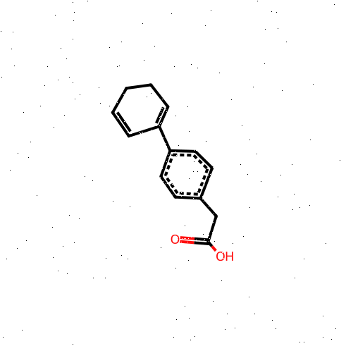 O=C(O)Cc1ccc(C2=CCCC=C2)cc1